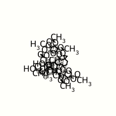 CC(=O)OC[C@H]1O[C@@H](O[C@@H](C[C@@H]2CCC[C@]3(C)C([C@@]4(C)CC[C@@H](C(C)(C)O)O4)[C@@H](O)C[C@@]23C)[C@@H]2C3(CC[C@H](O[C@@H]4OC[C@@H](OC(C)=O)[C@H](OC(C)=O)[C@H]4OC(C)=O)C2(C)C)CC3)[C@H](OC(C)=O)[C@@H](OC(C)=O)[C@@H]1OC(C)=O